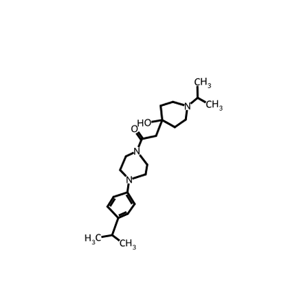 CC(C)c1ccc(N2CCN(C(=O)CC3(O)CCN(C(C)C)CC3)CC2)cc1